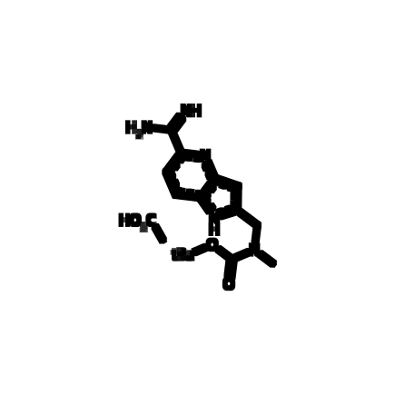 CC(=O)O.CN(Cc1cc2nc(C(=N)N)ccc2[nH]1)C(=O)OC(C)(C)C